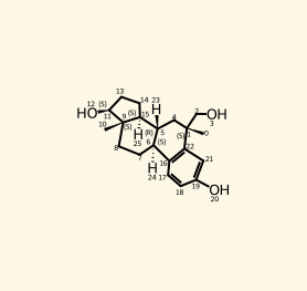 C[C@]1(CO)C[C@@H]2[C@H](CC[C@]3(C)[C@@H](O)CC[C@@H]23)c2ccc(O)cc21